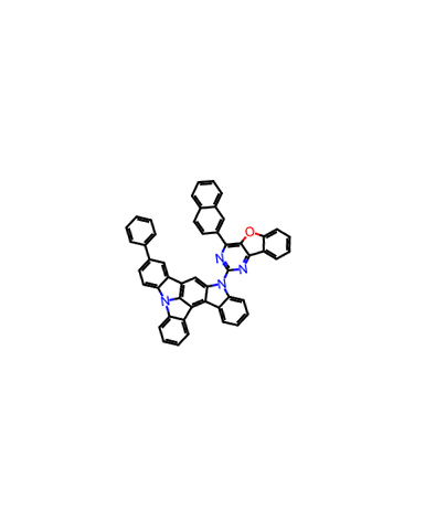 c1ccc(-c2ccc3c(c2)c2cc4c(c5ccccc5n4-c4nc(-c5ccc6ccccc6c5)c5oc6ccccc6c5n4)c4c5ccccc5n3c24)cc1